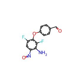 Nc1c(N=O)cc(F)c(Oc2ccc(C=O)cc2)c1F